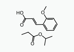 CCC(=O)OC(C)C.COc1ccccc1C=CC(=O)O